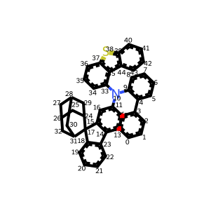 c1ccc(-c2ccccc2N(c2ccc3c(c2)C2(c4ccccc4-3)C3CC4CC(C3)CC2C4)c2cccc3sc4ccccc4c23)cc1